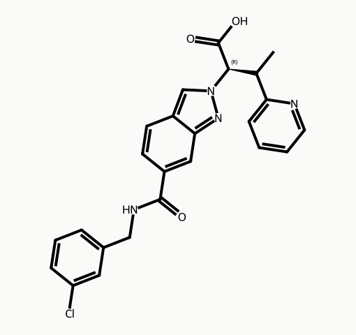 CC(c1ccccn1)[C@H](C(=O)O)n1cc2ccc(C(=O)NCc3cccc(Cl)c3)cc2n1